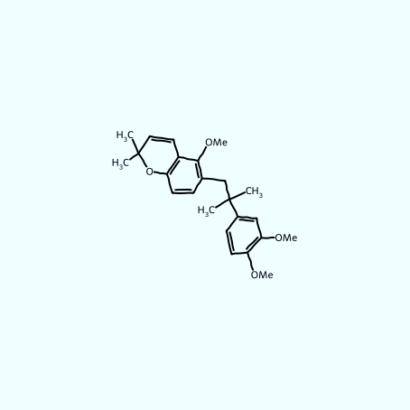 COc1ccc(C(C)(C)Cc2ccc3c(c2OC)C=CC(C)(C)O3)cc1OC